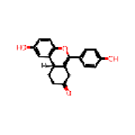 O=C1CC[C@H]2C(=C(c3ccc(O)cc3)Oc3ccc(O)cc32)C1